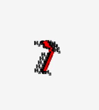 C=C1C(=CC)C(C/C=C(\C)CC/C=C(\C)CC/C=C(\C)CC/C=C(\C)CC/C=C(\C)CC/C=C(\C)CCC=C(C)C)=C(C)C(=O)/C1=C/C=C\C